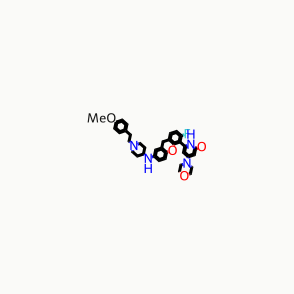 COc1ccc(CCN2CCC(Nc3ccc4c(c3)Cc3ccc(F)c(-c5cc(N6CCOCC6)cc(=O)[nH]5)c3O4)CC2)cc1